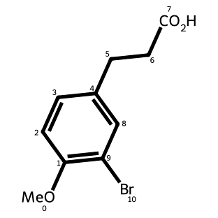 COc1ccc(CCC(=O)O)cc1Br